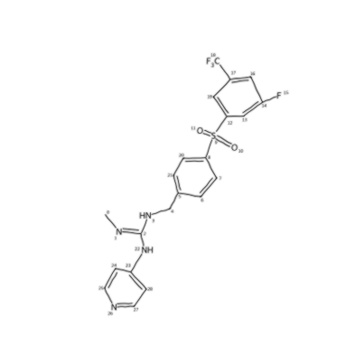 C/N=C(\NCc1ccc(S(=O)(=O)c2cc(F)cc(C(F)(F)F)c2)cc1)Nc1ccncc1